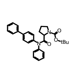 CC(C)(C)OC(=O)N1CCCC1C(=O)N(c1ccccc1)c1ccc(-c2ccccc2)cc1